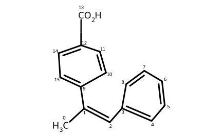 CC(=Cc1ccccc1)c1ccc(C(=O)O)cc1